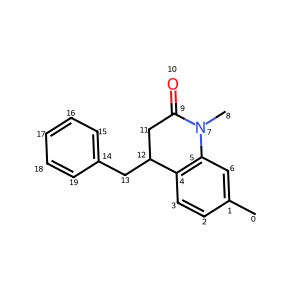 Cc1ccc2c(c1)N(C)C(=O)CC2Cc1ccccc1